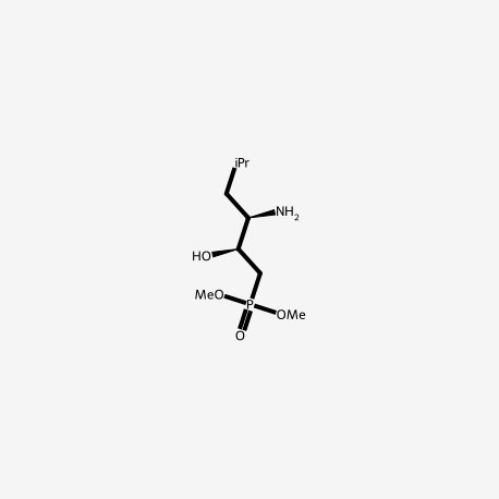 COP(=O)(C[C@@H](O)[C@H](N)CC(C)C)OC